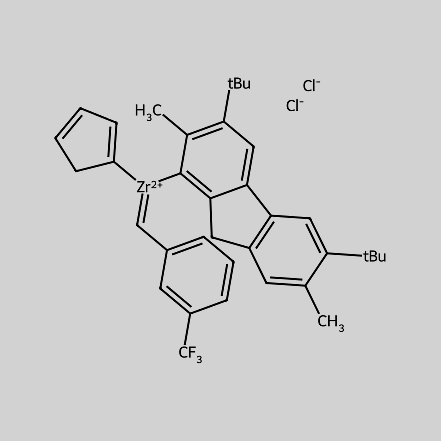 Cc1cc2c(cc1C(C)(C)C)-c1cc(C(C)(C)C)c(C)[c](/[Zr+2](=[CH]\c3cccc(C(F)(F)F)c3)[C]3=CC=CC3)c1C2.[Cl-].[Cl-]